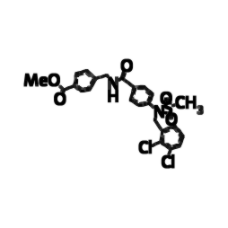 COC(=O)c1ccc(CNC(=O)c2ccc(N(Cc3cccc(Cl)c3Cl)S(C)(=O)=O)cc2)cc1